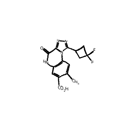 Cc1cc2c(cc1C(=O)O)[nH]c(=O)c1nnc(C3CC(F)(F)C3)n12